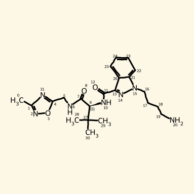 Cc1noc(CNC(=O)[C@@H](NC(=O)c2nn(CCCCN)c3ccccc23)C(C)(C)C)n1